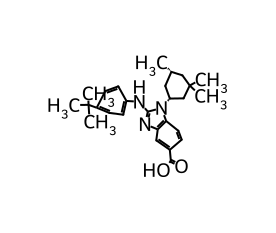 C[C@H]1C[C@@H](n2c(Nc3ccc(C(C)(C)C)cc3)nc3cc(C(=O)O)ccc32)CC(C)(C)C1